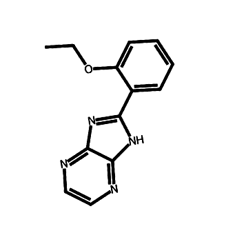 CCOc1ccccc1-c1nc2nccnc2[nH]1